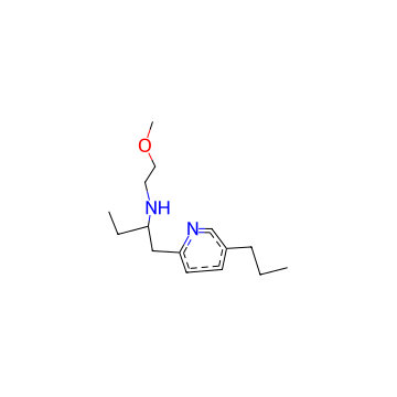 CCCc1ccc(CC(CC)NCCOC)nc1